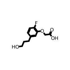 O=C(O)COc1cc(CCCO)ccc1F